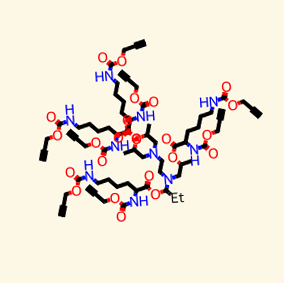 C#CCOC(=O)NCCCCC(NC(=O)OCC#C)C(=O)OC(C)CN(CCN(CC(C)OC(=O)C(CCCCNC(=O)OCC#C)NC(=O)OCC#C)C(CC)OC(=O)C(CCCCNC(=O)OCC#C)NC(=O)OCC#C)CC(C)OC(=O)C(CCCCNC(=O)OCC#C)NC(=O)OCC#C